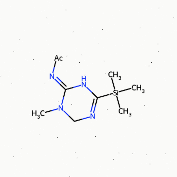 CC(=O)N=C1NC([Si](C)(C)C)=NCN1C